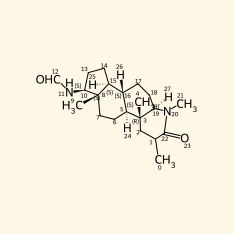 CC1C[C@]2(C)[C@H]3CC[C@]4(C)[C@@H](NC=O)CC[C@H]4[C@@H]3CC[C@H]2N(C)C1=O